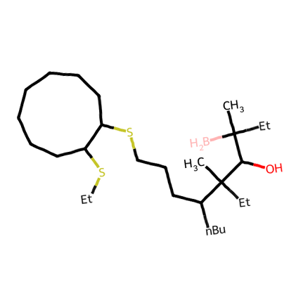 BC(C)(CC)C(O)C(C)(CC)C(CCCC)CCCSC1CCCCCCCC1SCC